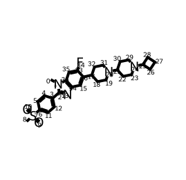 Cn1c(-c2ccc(S(C)(=O)=O)cc2)nc2cc(C3CCN(C4CCN(C5CCC5)CC4)CC3)c(F)cc21